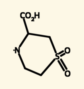 O=C(O)C1CS(=O)(=O)CC[N]1